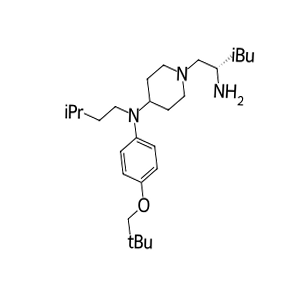 CCC(C)[C@H](N)CN1CCC(N(CCC(C)C)c2ccc(OCC(C)(C)C)cc2)CC1